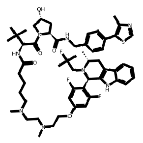 Cc1ncsc1-c1ccc(CNC(=O)[C@@H]2C[C@@H](O)CN2C(=O)[C@@H](NC(=O)CCCCN(C)CCN(C)CCOc2cc(F)c([C@@H]3c4[nH]c5ccccc5c4C[C@@H](C)N3CC(C)(C)F)c(F)c2)C(C)(C)C)cc1